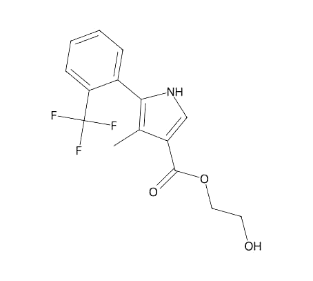 Cc1c(C(=O)OCCO)c[nH]c1-c1ccccc1C(F)(F)F